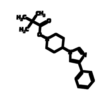 CC(C)(C)C(=O)ON1CCC(n2cnc(-c3ccccc3)c2)CC1